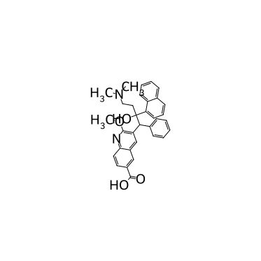 COc1nc2ccc(C(=O)O)cc2cc1C(c1ccccc1)C(O)(CCN(C)C)c1cccc2ccccc12